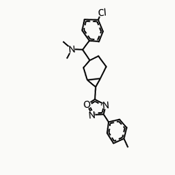 Cc1ccc(-c2noc(C3C4CCC(C(c5ccc(Cl)cc5)N(C)C)CC43)n2)cc1